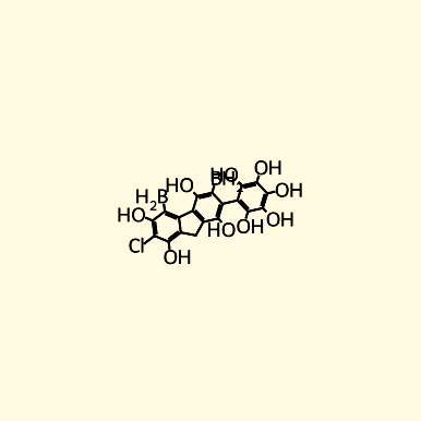 Bc1c(O)c2c(c(O)c1-c1c(O)c(O)c(O)c(O)c1O)Cc1c(O)c(Cl)c(O)c(B)c1-2